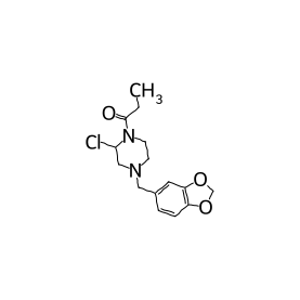 CCC(=O)N1CCN(Cc2ccc3c(c2)OCO3)CC1Cl